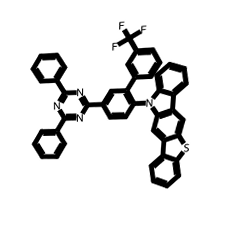 FC(F)(F)c1cccc(-c2cc(-c3nc(-c4ccccc4)nc(-c4ccccc4)n3)ccc2-n2c3ccccc3c3cc4sc5ccccc5c4cc32)c1